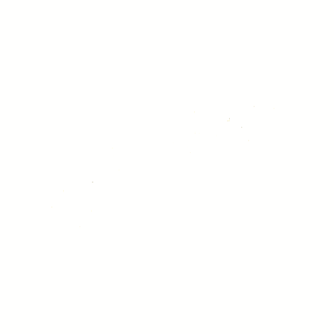 O=C(/C=C/c1ccccc1)OCCCOC(=O)/C=C/c1ccccc1